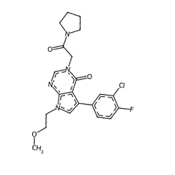 COCCn1cc(-c2ccc(F)c(Cl)c2)c2c(=O)n(CC(=O)N3CCCC3)cnc21